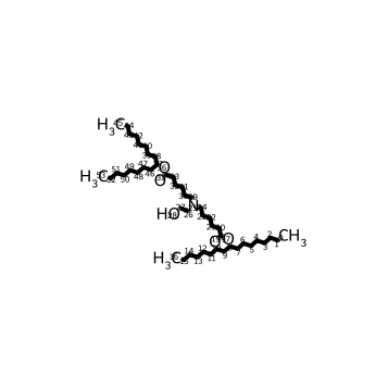 CCCCCCCCC(CCCCCCCC)OC(=O)CCCCCN(CCO)CCCCCC(=O)OC(CCCCCCCC)CCCCCCCC